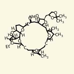 C=C1C[C@@H]2CC[C@H]3OC4[C@H]5O[C@H](CC[C@@H]5O[C@H]5[C@@H](O3)[C@@H](CC)O[C@@H]45)CC(=O)C[C@@H]3[C@@H](OC)[C@@H](C[C@H]4COC(C)(C)O4)O[C@H]3C[C@H]3O[C@@H](CC[C@@H]1O2)C[C@@H](C)C3=C